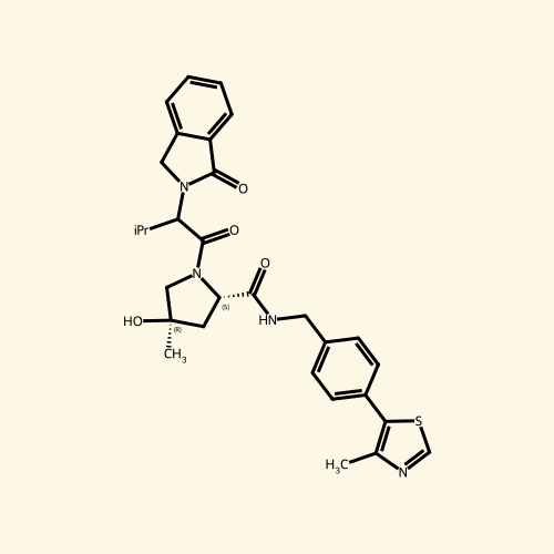 Cc1ncsc1-c1ccc(CNC(=O)[C@@H]2C[C@@](C)(O)CN2C(=O)C(C(C)C)N2Cc3ccccc3C2=O)cc1